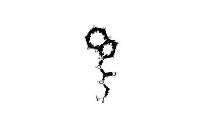 CCOC(=O)On1ccc2ccccc21